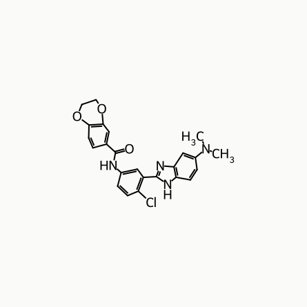 CN(C)c1ccc2[nH]c(-c3cc(NC(=O)c4ccc5c(c4)OCCO5)ccc3Cl)nc2c1